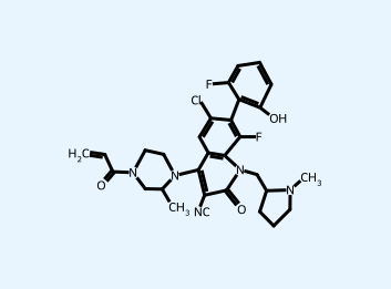 C=CC(=O)N1CCN(c2c(C#N)c(=O)n(CC3CCCN3C)c3c(F)c(-c4c(O)cccc4F)c(Cl)cc23)C(C)C1